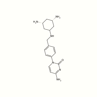 Nc1ccn(-c2ccc(CNC3C[C@@H](N)C[C@@H](N)C3)cc2)c(=O)n1